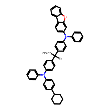 CCCCCC(CC)(c1ccc(N(c2ccccc2)c2ccc(C3CCCCC3)cc2)cc1)c1ccc(N(c2ccccc2)c2ccc3c(c2)oc2ccccc23)cc1